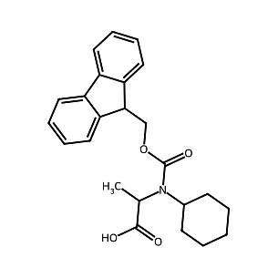 CC(C(=O)O)N(C(=O)OCC1c2ccccc2-c2ccccc21)C1CCCCC1